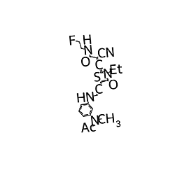 CCn1c(=C=C(C#N)C(=O)NCCF)sc(=C=CNc2cccc(N(C)C(C)=O)c2)c1=O